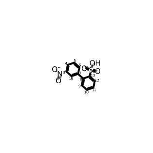 O=[N+]([O-])c1cccc(-c2ccccc2S(=O)(=O)O)c1